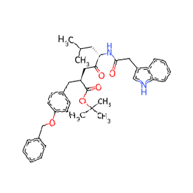 CC(C)C[C@H](NC(=O)Cc1c[nH]c2ccccc12)C(=O)C[C@H](Cc1ccc(OCc2ccccc2)cc1)C(=O)OC(C)(C)C